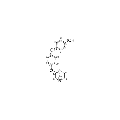 Oc1ccc(Oc2ccc(OC3CN4CCC3CC4)cc2)cc1